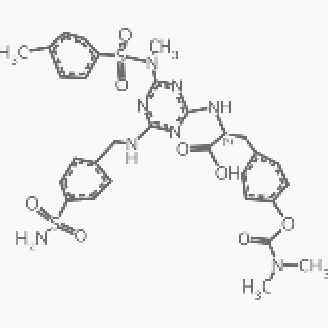 Cc1ccc(S(=O)(=O)N(C)c2nc(NCc3ccc(S(N)(=O)=O)cc3)nc(N[C@@H](Cc3ccc(OC(=O)N(C)C)cc3)C(=O)O)n2)cc1